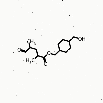 CC(C=O)CC(C)C(=O)OCC1CCC(CO)CC1